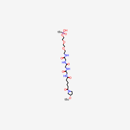 CC(C)(C)O[C@H]1CCN(C(=O)CCCCC(=O)NCC(=O)NCC(=O)NCC(=O)NCCOCCOCCOP(=O)(O)C(C)(C)C)C1